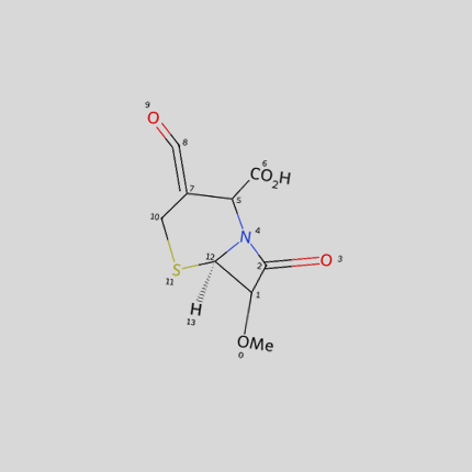 COC1C(=O)N2C(C(=O)O)C(=C=O)CS[C@H]12